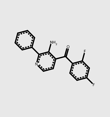 Nc1c(C(=O)c2ccc(F)cc2F)ccnc1-c1ccccc1